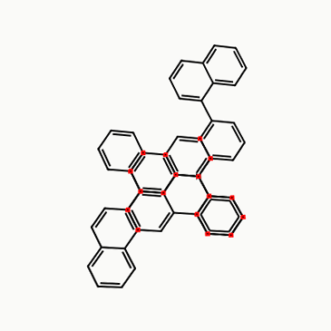 c1ccc(-c2ccccc2-c2c(-c3ccccc3)cccc2-c2ccccc2N(c2cccc(-c3ccc4ccccc4c3)c2)c2cccc(-c3cccc4ccccc34)c2)cc1